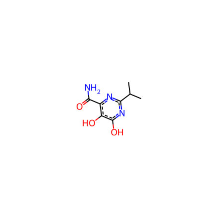 CC(C)c1nc(O)c(O)c(C(N)=O)n1